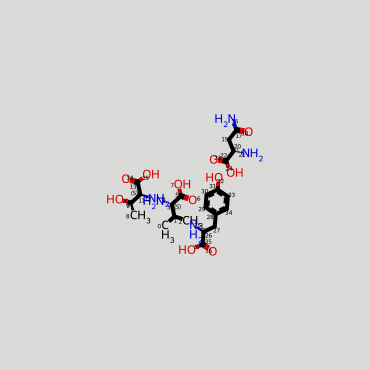 CC(C)[C@H](N)C(=O)O.C[C@@H](O)[C@H](N)C(=O)O.NC(=O)C[C@H](N)C(=O)O.N[C@@H](Cc1ccc(O)cc1)C(=O)O